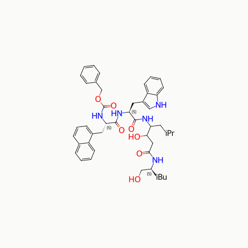 CCC(C)[C@@H](CO)NC(=O)CC(O)C(CC(C)C)NC(=O)[C@H](Cc1c[nH]c2ccccc12)NC(=O)[C@H](Cc1cccc2ccccc12)NC(=O)OCc1ccccc1